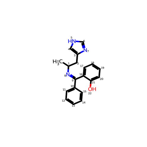 CC(Cc1c[nH]cn1)N=C(c1ccccc1)c1ccccc1O